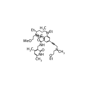 CCOCCN(C)CC#Cc1cc(C(=O)NCc2c(C)cc(C)[nH]c2=O)c(C)c(N(CC)[C@@H](C)CC[C@H](CC)N(C)CCOC)c1